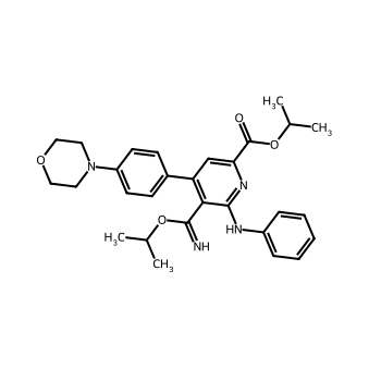 CC(C)OC(=N)c1c(-c2ccc(N3CCOCC3)cc2)cc(C(=O)OC(C)C)nc1Nc1ccccc1